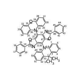 CC1(C)c2ccccc2N(c2c3nc(-c4ccccc4)oc3c(N3c4ccccc4Oc4ccccc43)c3nc(-c4ccccc4)oc23)c2ccccc21